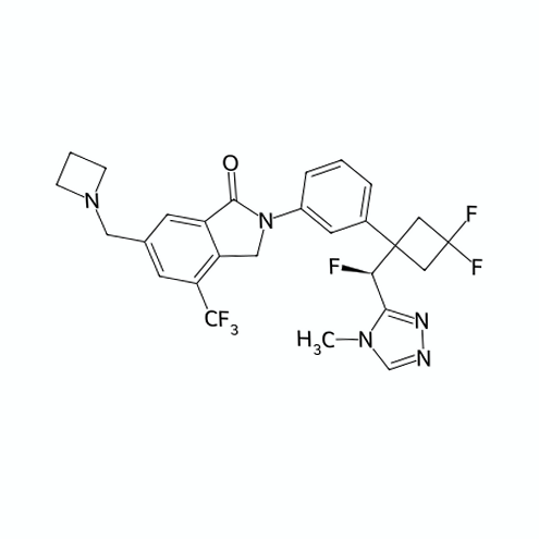 Cn1cnnc1[C@@H](F)C1(c2cccc(N3Cc4c(cc(CN5CCC5)cc4C(F)(F)F)C3=O)c2)CC(F)(F)C1